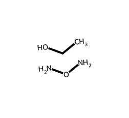 CCO.NON